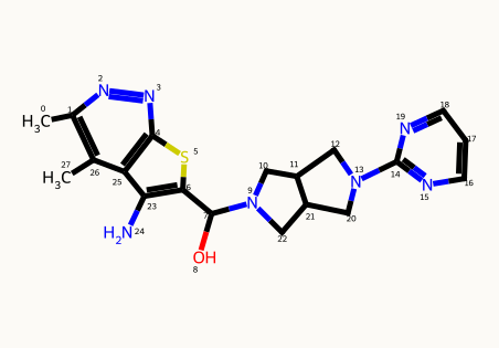 Cc1nnc2sc(C(O)N3CC4CN(c5ncccn5)CC4C3)c(N)c2c1C